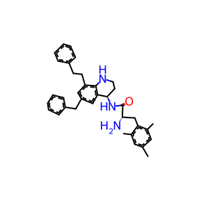 Cc1cc(C)c(C[C@H](N)C(=O)N[C@@H]2CCNc3c(CCc4ccccc4)cc(Cc4ccccc4)cc32)c(C)c1